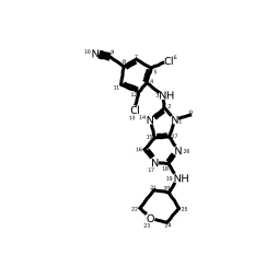 Cn1c(Nc2c(Cl)cc(C#N)cc2Cl)nc2cnc(NC3CCOCC3)nc21